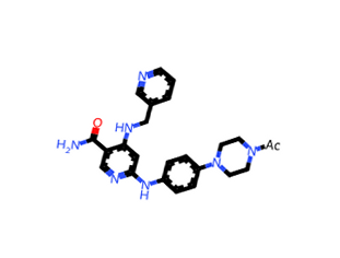 CC(=O)N1CCN(c2ccc(Nc3cc(NCc4cccnc4)c(C(N)=O)cn3)cc2)CC1